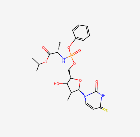 CC(C)OC(=O)[C@H](C)NP(=O)(OC[C@H]1O[C@@H](n2ccc(=S)[nH]c2=O)C(C)C1O)Oc1ccccc1